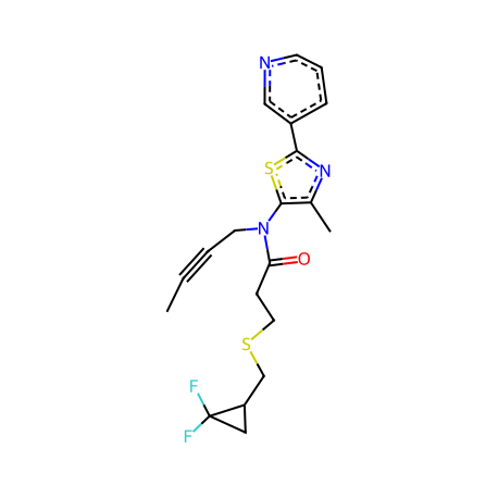 CC#CCN(C(=O)CCSCC1CC1(F)F)c1sc(-c2cccnc2)nc1C